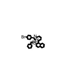 Oc1ccc2ccccc2c1-c1cccc2nc(-c3ccc(Br)cc3)c(NCc3ccccc3)n12